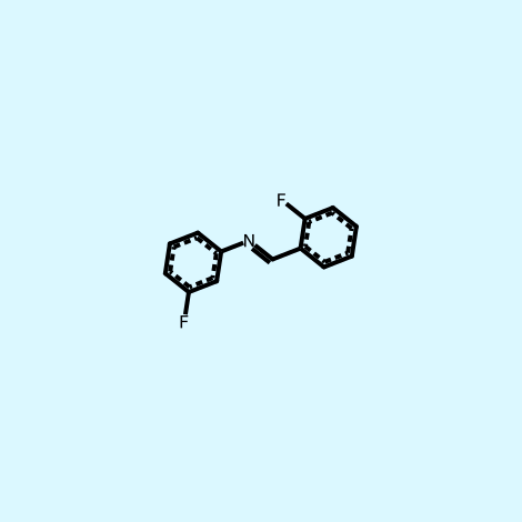 Fc1cccc(/N=C/c2ccccc2F)c1